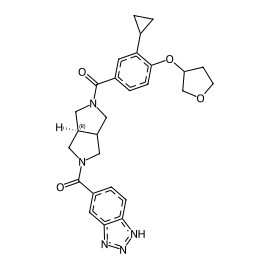 O=C(c1ccc(OC2CCOC2)c(C2CC2)c1)N1CC2CN(C(=O)c3ccc4[nH]nnc4c3)C[C@H]2C1